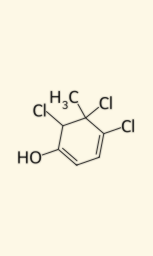 CC1(Cl)C(Cl)=CC=C(O)C1Cl